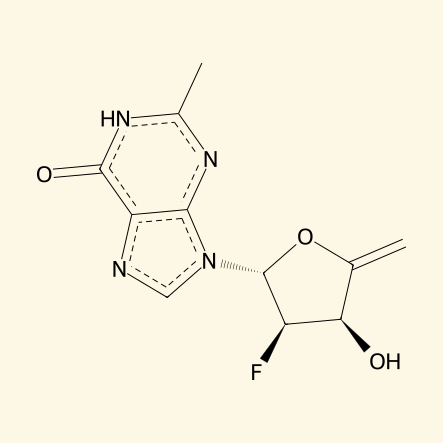 C=C1O[C@@H](n2cnc3c(=O)[nH]c(C)nc32)[C@H](F)[C@@H]1O